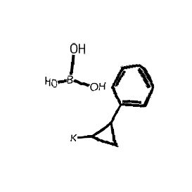 OB(O)O.[K][CH]1CC1c1ccccc1